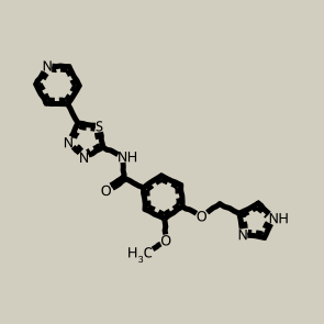 COc1cc(C(=O)Nc2nnc(-c3ccncc3)s2)ccc1OCc1c[nH]cn1